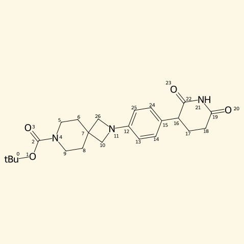 CC(C)(C)OC(=O)N1CCC2(CC1)CN(c1ccc(C3CCC(=O)NC3=O)cc1)C2